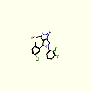 CCn1nc(C(C)C)c2c1CN(c1cccc(Cl)c1F)C2c1cc(Cl)ccc1C